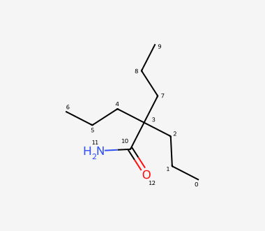 CCCC(CCC)(CCC)C(N)=O